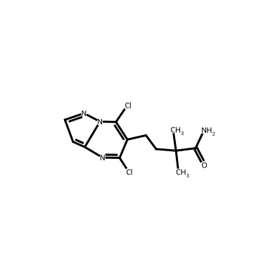 CC(C)(CCc1c(Cl)nc2ccnn2c1Cl)C(N)=O